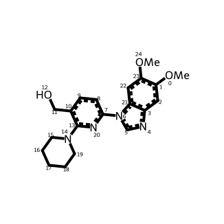 COc1cc2ncn(-c3ccc(CO)c(N4CCCCC4)n3)c2cc1OC